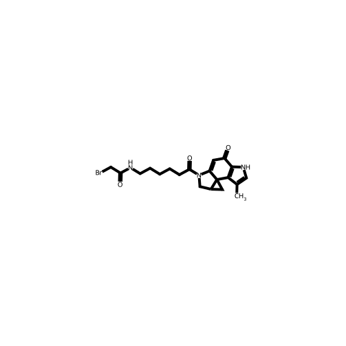 Cc1c[nH]c2c1C13CC1CN(C(=O)CCCCCNC(=O)CBr)C3=CC2=O